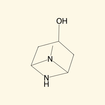 CN1C2CC(O)CC1N2